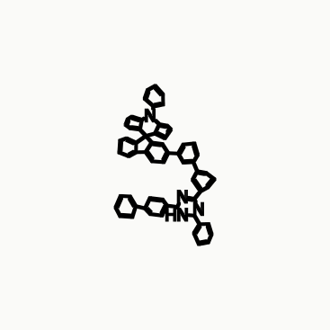 c1ccc(C2=NC(c3cccc(-c4cccc(-c5ccc6c(c5)C5(c7ccccc7-6)c6ccccc6N(c6ccccc6)c6ccccc65)c4)c3)=NC(c3ccc(-c4ccccc4)cc3)N2)cc1